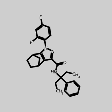 CCC(CC)(NC(=O)c1nn(-c2ccc(F)cc2F)c2c1C1CCC2C1)c1ccccc1